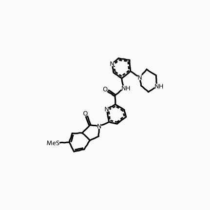 CSC1=CC2C(=O)N(c3cccc(C(=O)Nc4cnccc4N4CCNCC4)n3)CC2C=C1